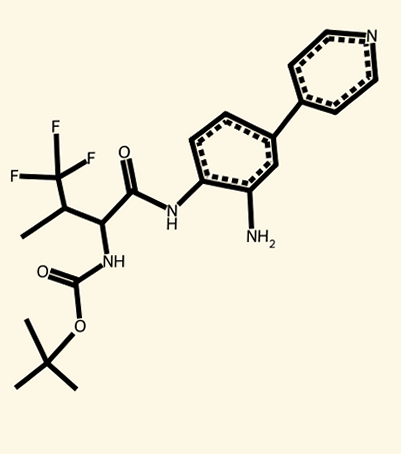 CC(C(NC(=O)OC(C)(C)C)C(=O)Nc1ccc(-c2ccncc2)cc1N)C(F)(F)F